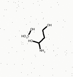 NC(O)CCO.O=S(=O)(O)O